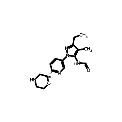 CCc1nn(-c2ccc([C@H]3CNCCO3)nc2)c(NC=O)c1C